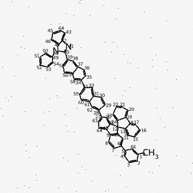 Cc1cccc(-c2ccc3c(c2)C2(c4ccccc4-c4ccccc42)c2cc(-c4ccc5cc(-c6ccc7cc(-c8nc9ccccc9n8-c8ccccc8)ccc7c6)ccc5c4)ccc2-3)c1